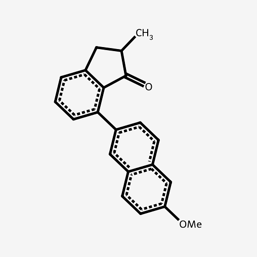 COc1ccc2cc(-c3cccc4c3C(=O)C(C)C4)ccc2c1